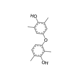 Cc1cc(Oc2ccc(C)c(O)c2C)cc(C)c1O